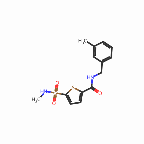 CNS(=O)(=O)c1ccc(C(=O)NCc2cccc(C)c2)s1